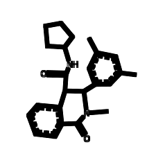 Cc1cc(C)cc(C2C(C(=O)NC3CCCC3)c3ccccc3C(=O)N2C)c1